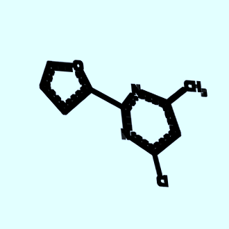 Cc1cc(Cl)nc(-c2ccco2)n1